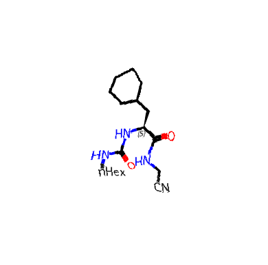 CCCCCCNC(=O)N[C@@H](CC1CCCCC1)C(=O)NCC#N